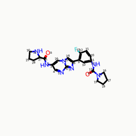 O=C(Nc1cnc2nc(-c3cc(NC(=O)N4CCCC4)ccc3F)cn2c1)C1CCCN1